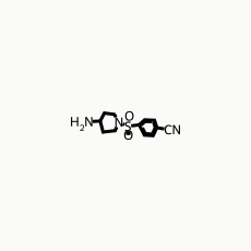 N#Cc1ccc(S(=O)(=O)N2CCC(N)CC2)cc1